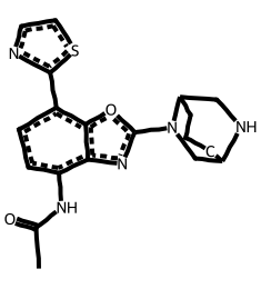 CC(=O)Nc1ccc(-c2nccs2)c2oc(N3CC4CCCC3CN4)nc12